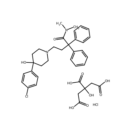 CN(C)C(=O)C(CCN1CCC(O)(c2ccc(Cl)cc2)CC1)(c1ccccc1)c1ccccc1.Cl.O=C(O)CC(O)(CC(=O)O)C(=O)O